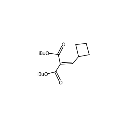 CC(C)COC(=O)C(=CC1CCC1)C(=O)OCC(C)C